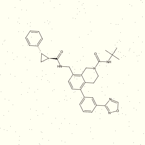 CC(C)(C)NC(=O)N1CCc2c(-c3cccc(-c4ncon4)c3)ccc(CNC(=O)[C@H]3C[C@@H]3c3ccccc3)c2C1